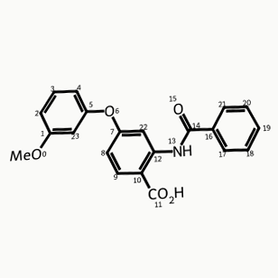 COc1cccc(Oc2ccc(C(=O)O)c(NC(=O)c3ccccc3)c2)c1